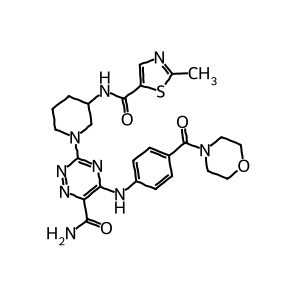 Cc1ncc(C(=O)NC2CCCN(c3nnc(C(N)=O)c(Nc4ccc(C(=O)N5CCOCC5)cc4)n3)C2)s1